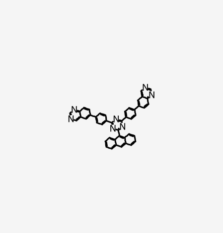 c1ccc2c(-c3nc(-c4ccc(-c5ccc6ncncc6c5)cc4)nc(-c4ccc(-c5ccc6ncncc6c5)cc4)n3)c3ccccc3cc2c1